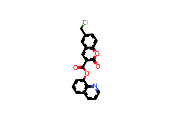 O=C(Oc1cccc2cccnc12)c1cc2cc(CCl)ccc2oc1=O